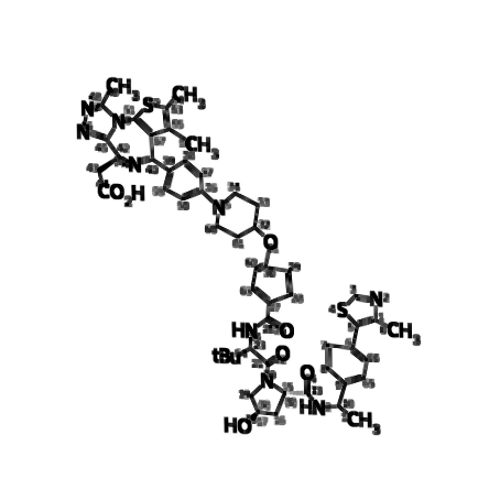 Cc1ncsc1-c1ccc(C(C)NC(=O)[C@@H]2C[C@@H](O)CN2C(=O)C(NC(=O)c2ccc(OC3CCN(c4ccc(C5=N[C@@H](CC(=O)O)c6nnc(C)n6-c6sc(C)c(C)c65)cc4)CC3)cc2)C(C)(C)C)cc1